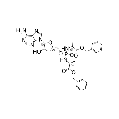 C[C@H](NP(=O)(N[C@@H](C)C(=O)OCc1ccccc1)OC[C@@H]1CC(O)[C@H](n2cnc3c(N)ncnc32)O1)C(=O)OCc1ccccc1